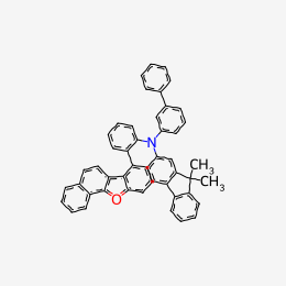 CC1(C)c2ccccc2-c2ccc(N(c3cccc(-c4ccccc4)c3)c3ccccc3-c3cccc4oc5c6ccccc6ccc5c34)cc21